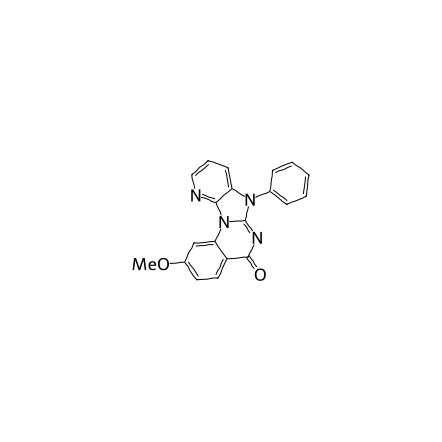 COc1ccc2c(=O)nc3n(-c4ccccc4)c4cccnc4n3c2c1